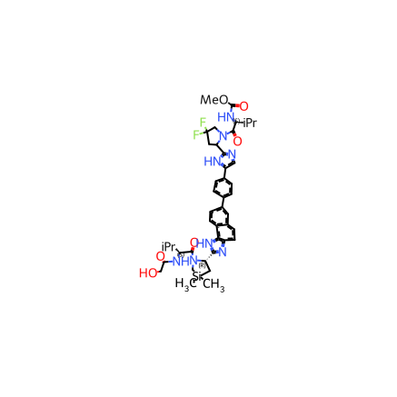 COC(=O)N[C@H](C(=O)N1CC(F)(F)CC1c1ncc(-c2ccc(-c3ccc4c(ccc5nc([C@@H]6C[Si](C)(C)CN6C(=O)[C@@H](NC(=O)CO)C(C)C)[nH]c54)c3)cc2)[nH]1)C(C)C